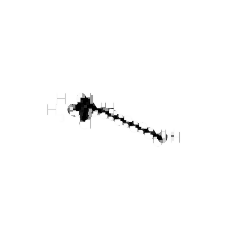 COc1ccc2c(c1)C(c1ccc(Cl)cc1)=NC(CC(=O)NCCOCCOCCOCCOCCOCCOCCOCCNC(=O)O)c1nnc(C)n1-2